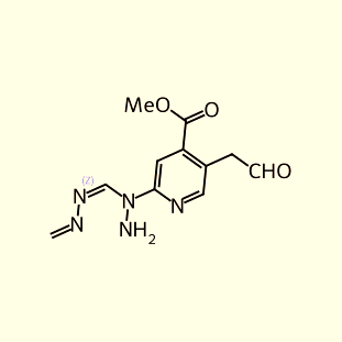 C=N/N=C\N(N)c1cc(C(=O)OC)c(CC=O)cn1